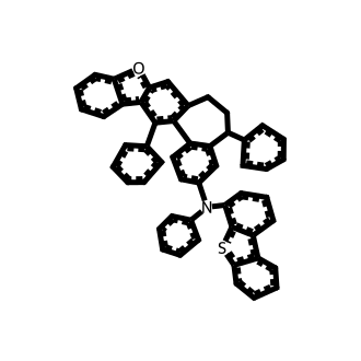 c1ccc(-c2c3c(cc4oc5ccccc5c24)CCC(c2ccccc2)c2cc(N(c4ccccc4)c4cccc5c4sc4ccccc45)ccc2-3)cc1